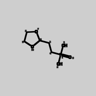 O=P(O)(O)CCC1OCCO1